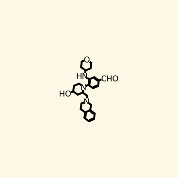 O=Cc1ccc(N2CCC(O)CC2CN2CCc3ccccc3C2)c(NC2CCOCC2)c1